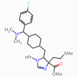 CCCN1C=NC(CCSC)(C(=O)OC)C1CC1CCC(C(c2ccc(F)cc2)N(C)C)CC1